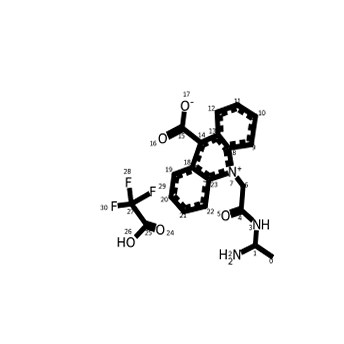 CC(N)NC(=O)C[n+]1c2ccccc2c(C(=O)[O-])c2ccccc21.O=C(O)C(F)(F)F